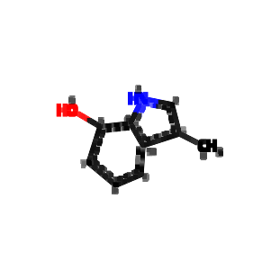 Cc1c[nH]c2c(O)cccc12